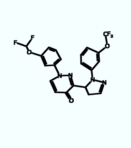 O=c1ccn(-c2cccc(OC(F)F)c2)nc1C1CC=NN1c1cccc(OC(F)(F)F)c1